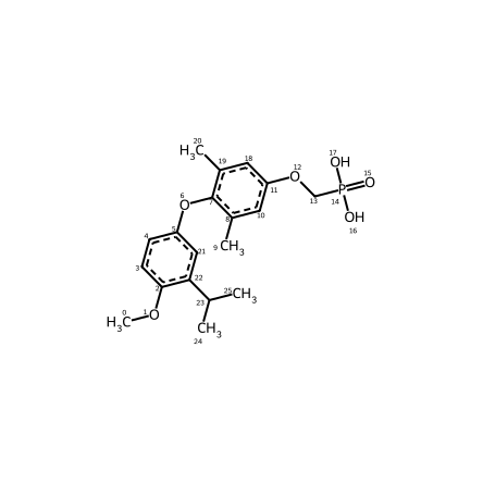 COc1ccc(Oc2c(C)cc(OCP(=O)(O)O)cc2C)cc1C(C)C